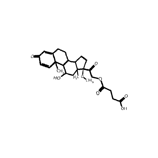 CO[C@]1(C(=O)COC(=O)CCC(=O)O)CCC2C3CCC4=CC(=O)C=CC4(C)C3C(O)CC21C